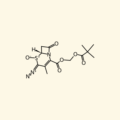 CC1=C(C(=O)OCOC(=O)C(C)(C)C)N2C(=O)C[C@H]2[S+]([O-])C1=[N+]=[N-]